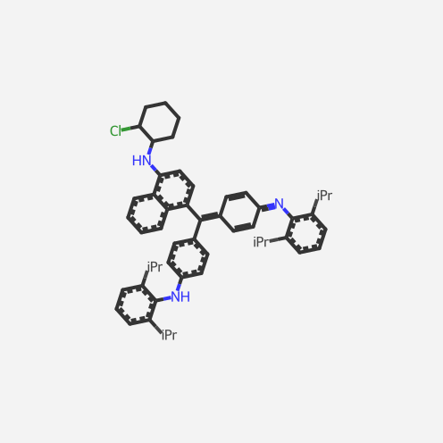 CC(C)c1cccc(C(C)C)c1N=C1C=CC(=C(c2ccc(Nc3c(C(C)C)cccc3C(C)C)cc2)c2ccc(NC3CCCCC3Cl)c3ccccc23)C=C1